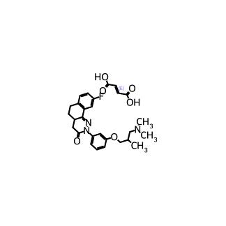 CC(COc1cccc(N2N=C3c4cc(F)ccc4CCC3CC2=O)c1)CN(C)C.O=C(O)/C=C/C(=O)O